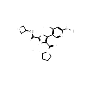 C[C@H]1CCCN1C(=O)c1nc(C(=O)NC2COC2)sc1-c1cnc(NC(C)(C)C)cc1C(F)(F)F